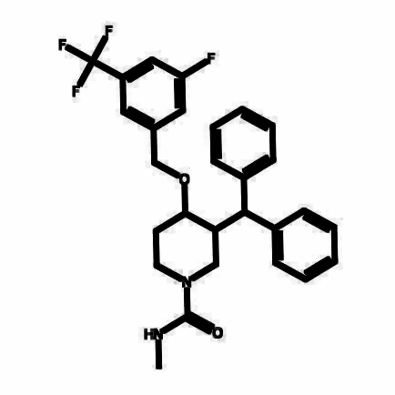 CNC(=O)N1CCC(OCc2cc(F)cc(C(F)(F)F)c2)C(C(c2ccccc2)c2ccccc2)C1